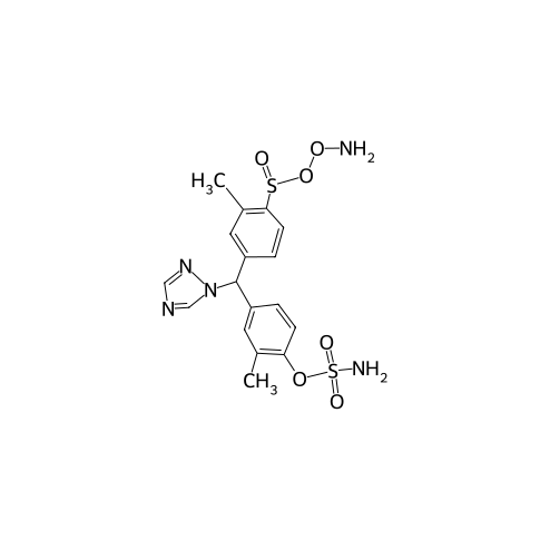 Cc1cc(C(c2ccc(S(=O)OON)c(C)c2)n2cncn2)ccc1OS(N)(=O)=O